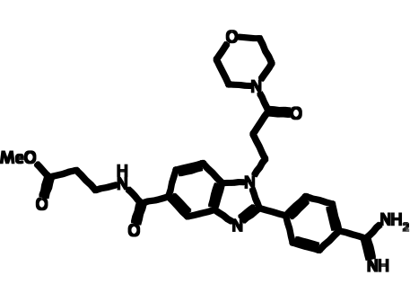 COC(=O)CCNC(=O)c1ccc2c(c1)nc(-c1ccc(C(=N)N)cc1)n2CCC(=O)N1CCOCC1